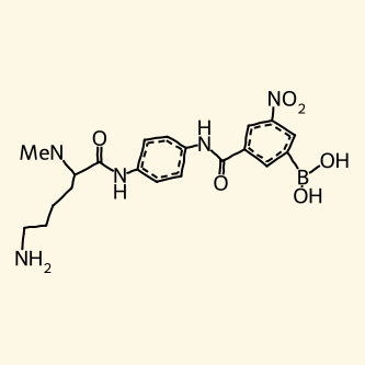 CNC(CCCCN)C(=O)Nc1ccc(NC(=O)c2cc(B(O)O)cc([N+](=O)[O-])c2)cc1